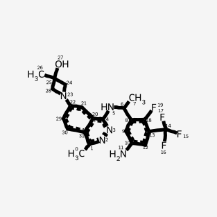 Cc1nnc(NC(C)c2cc(N)cc(C(F)(F)F)c2F)c2cc(N3CC(C)(O)C3)ccc12